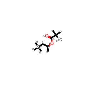 CCC(C)(C)C(=O)OC(C)C[Si](C)(C)C